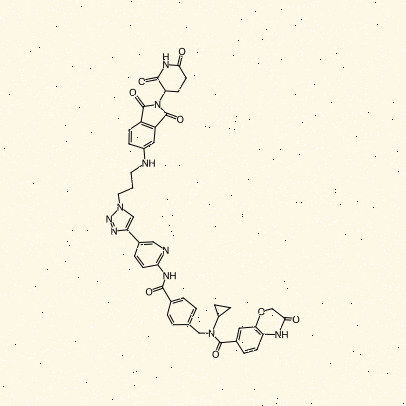 O=C1CCC(N2C(=O)c3ccc(NCCCn4cc(-c5ccc(NC(=O)c6ccc(CN(C(=O)c7ccc8c(c7)OCC(=O)N8)C7CC7)cc6)nc5)nn4)cc3C2=O)C(=O)N1